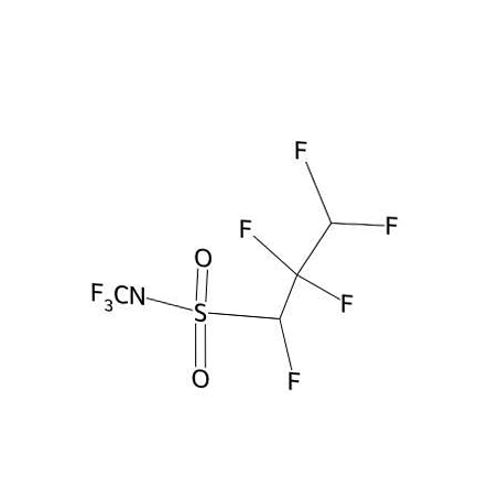 O=S(=O)(NC(F)(F)F)C(F)C(F)(F)C(F)F